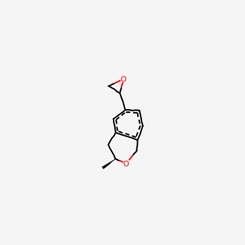 C[C@H]1Cc2cc(C3CO3)ccc2CO1